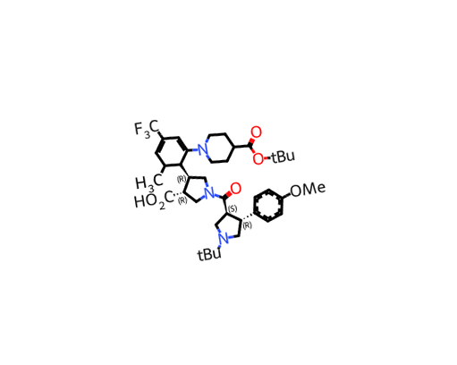 COc1ccc([C@@H]2CN(C(C)(C)C)C[C@H]2C(=O)N2C[C@H](C(=O)O)[C@@H](C3C(N4CCC(C(=O)OC(C)(C)C)CC4)=CC(C(F)(F)F)=CC3C)C2)cc1